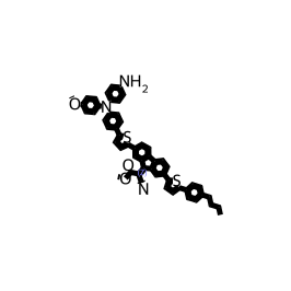 CCCCc1ccc(-c2ccc(-c3ccc4c(c3)/C(=C(\C#N)C(=O)OC)c3cc(-c5ccc(-c6ccc(N(c7ccc(N)cc7)c7ccc(OC)cc7)cc6)s5)ccc3-4)s2)cc1